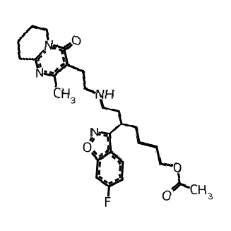 CC(=O)OCCCCC(CCNCCc1c(C)nc2n(c1=O)CCCC2)c1noc2cc(F)ccc12